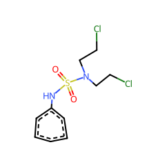 O=S(=O)(Nc1ccccc1)N(CCCl)CCCl